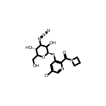 [N-]=[N+]=NC1C(O)[C@@H](Sc2cc(Cl)cnc2C(=O)N2CCC2)OC(CO)[C@@H]1O